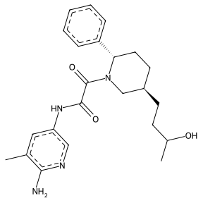 Cc1cc(NC(=O)C(=O)N2C[C@H](CCC(C)O)CC[C@H]2c2ccccc2)cnc1N